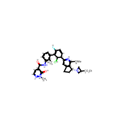 CCOC(=O)C1CN([C@@H]2CCc3cc(C4C=CC(F)=C(c5cccc(NC(=O)c6ccnn(C)c6=O)c5C)C4Cl)nc(OC)c32)C1